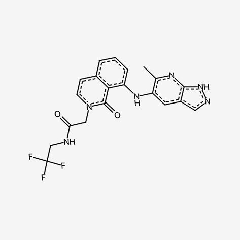 Cc1nc2[nH]ncc2cc1Nc1cccc2ccn(CC(=O)NCC(F)(F)F)c(=O)c12